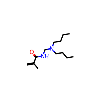 C=C(C)C(=O)NCN(CCCC)CCCC